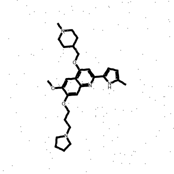 COc1cc2c(OCC3CCN(C)CC3)cc(-c3ccc(C)[nH]3)nc2cc1OCCCN1CCCC1